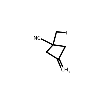 C=C1CC(C#N)(CI)C1